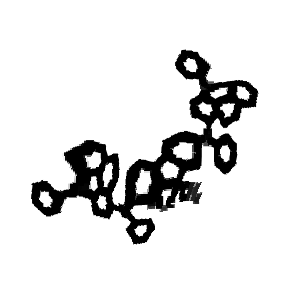 CC1(C)c2cc(N(c3ccccc3)c3ccc4c5c3ccc3cccc(c35)n4-c3ccccc3)ccc2-c2ccc(N(c3ccccc3)c3ccc4c5c3ccc3cccc(c35)n4-c3ccccc3)cc21